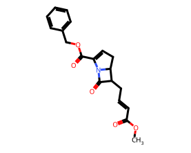 COC(=O)C=CCC1C(=O)N2C(C(=O)OCc3ccccc3)=CCC12